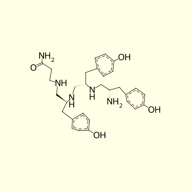 NC(=O)CCNC[C@H](Cc1ccc(O)cc1)NC[C@H](Cc1ccc(O)cc1)NC[C@@H](N)Cc1ccc(O)cc1